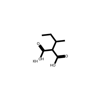 CCC(C)C(C(=O)O)C(=O)O.[KH]